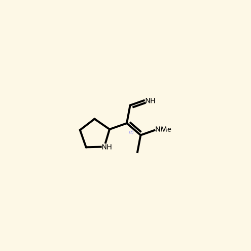 CN/C(C)=C(\C=N)C1CCCN1